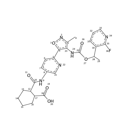 Cc1noc(-c2ccc(NC(=O)C3CCCCC3C(=O)O)cn2)c1NC(=O)OC(C)c1cccnc1F